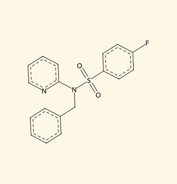 O=S(=O)(c1ccc(F)cc1)N(Cc1ccccc1)c1ccccn1